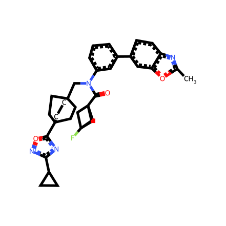 Cc1nc2ccc(-c3cccc(N(CC45CCC(c6nc(C7CC7)no6)(CC4)CC5)C(=O)C45CC(F)(C4)C5)c3)cc2o1